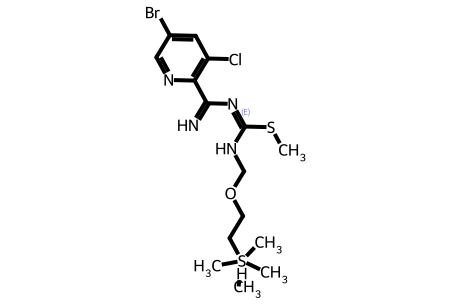 CS/C(=N/C(=N)c1ncc(Br)cc1Cl)NCOCC[SH](C)(C)(C)C